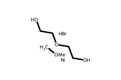 Br.COC.OCCOCCO.[Ni]